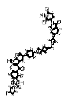 O=C1CC[C@H](N2Cc3cc(C4CN(CC5CC6(C5)CN(c5ccc(-c7cnc8[nH]cc(C(=O)c9c(F)ccc(NS(=O)(=O)N%10CC[C@@H](F)C%10)c9F)c8c7)cc5)C6)C4)ccc3C2=O)C(=O)N1